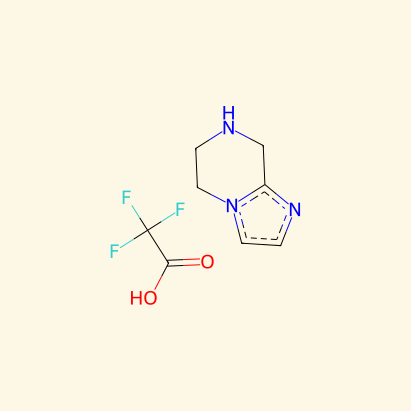 O=C(O)C(F)(F)F.c1cn2c(n1)CNCC2